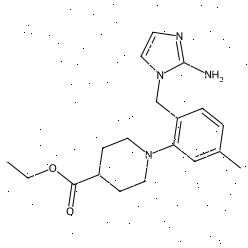 CCOC(=O)C1CCN(c2cc(C)ccc2Cn2ccnc2N)CC1